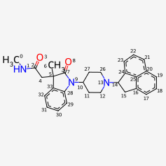 CNC(=O)CC1(C)C(=O)N(C2CCN(C3Cc4cccc5cccc3c45)CC2)c2ccccc21